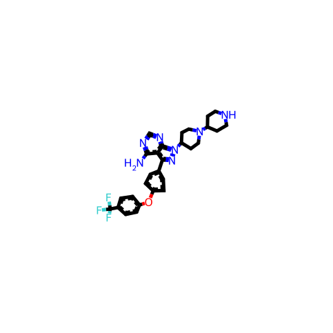 Nc1ncnc2c1c(-c1ccc(Oc3ccc(C(F)(F)F)cc3)cc1)nn2C1CCN(C2CCNCC2)CC1